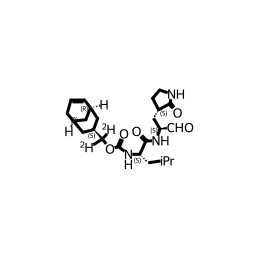 [2H]C([2H])(OC(=O)N[C@@H](CC(C)C)C(=O)N[C@H](C=O)C[C@@H]1CCNC1=O)[C@@H]1C[C@@H]2C=CC[C@@H](C2)C1